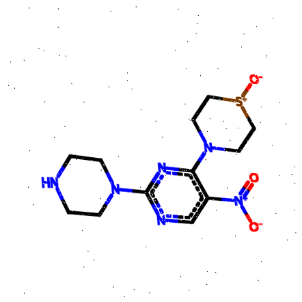 O=[N+]([O-])c1cnc(N2CCNCC2)nc1N1CC[S+]([O-])CC1